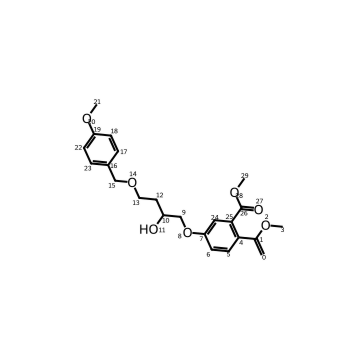 C=C(OC)c1ccc(OCC(O)CCOCc2ccc(OC)cc2)cc1C(=O)OC